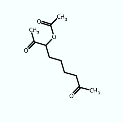 CC(=O)CCCCC(OC(C)=O)C(C)=O